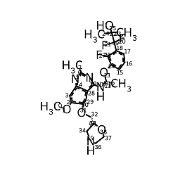 COc1cc2nc(C)nc(N[C@@H](C)Oc3cccc(C(F)(F)C(C)(C)O)c3F)c2cc1OC[C@H]1CNCCO1